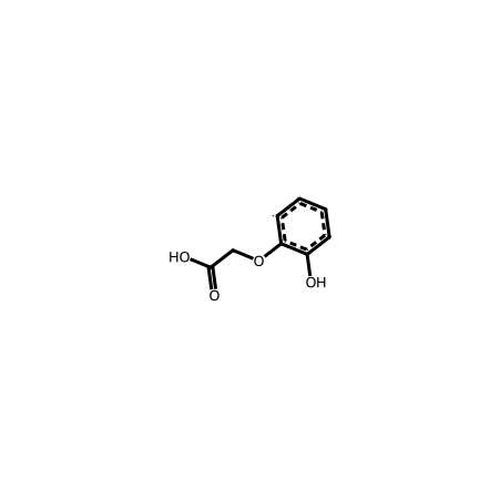 O=C(O)COc1[c]cccc1O